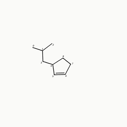 CC(C)CC1C=CCC1